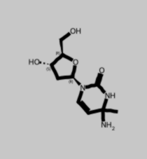 CC1(N)C=CN([C@H]2C[C@H](O)[C@@H](CO)O2)C(=O)N1